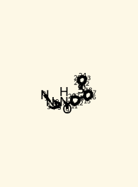 N#CN1CC2CC(NC(=O)c3ccc(-c4ccccc4Sc4ccccc4)cc3)C1C2